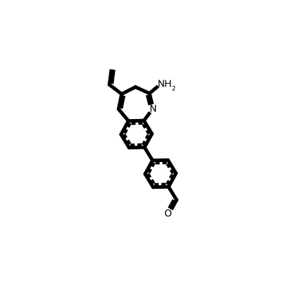 C=CC1=Cc2ccc(-c3ccc(C=O)cc3)cc2N=C(N)C1